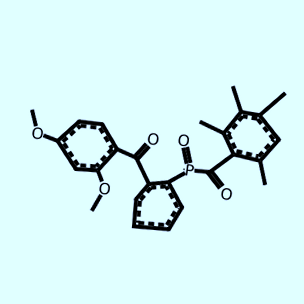 COc1ccc(C(=O)c2ccccc2[P](=O)C(=O)c2c(C)cc(C)c(C)c2C)c(OC)c1